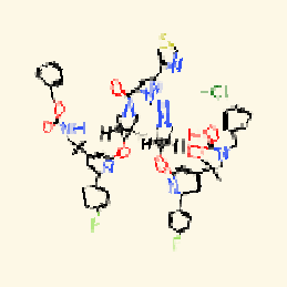 CC(C)(CN(Cc1ccccc1)C(=O)O)c1cc(OC2[C@H]3CNC[C@@H]23)nc(-c2ccc(F)cc2)c1.Cl.Cn1nc(-c2cscn2)cc1C(=O)N1C[C@@H]2C(Oc3cc(C(C)(C)CNC(=O)OCc4ccccc4)cc(-c4ccc(F)cc4)n3)[C@@H]2C1